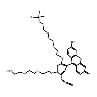 COCCOCCOCCOc1cc(OCCOCCOCCOC(C)(C)C(C)(C)C)c(-c2c3ccc(=O)cc-3oc3cc(O)ccc23)cc1N=[N+]=[N-]